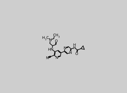 CCN(C)CC(C=O)Nc1cc(-c2cnc(NC(=O)C3CC3)cn2)cnc1C#N